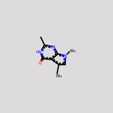 Cc1nc2c(c(C(C)(C)C)cn2C(C)(C)C)c(=O)[nH]1